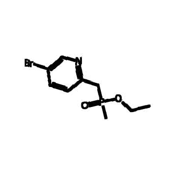 CCOP(C)(=O)Cc1ccc(Br)cn1